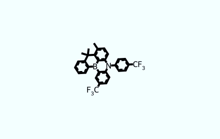 Cc1ccc2c3c1C(C)(C)c1ccccc1B3c1cc(C(F)(F)F)ccc1N2c1ccc(C(F)(F)F)cc1